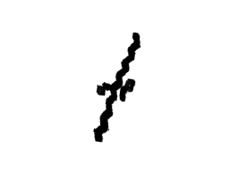 CC=O.CCCCCCCC=C(C=O)CCCCCCC